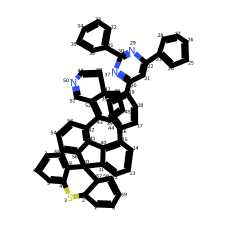 C1=CC2Sc3ccccc3C3(c4cccc(-c5ccc(-c6cc(-c7ccccc7)nc(-c7ccccc7)n6)cc5)c4-c4c(-c5cccc6ccncc56)cccc43)C2C=C1